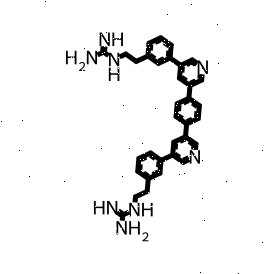 N=C(N)NCCc1cccc(-c2cncc(-c3ccc(-c4cncc(-c5cccc(CCNC(=N)N)c5)c4)cc3)c2)c1